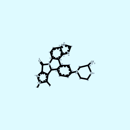 Cc1c2c(nn1C)C(=O)N1c3ccc4[nH]cnc4c3-c3cc(N4CCOC(C(F)(F)F)C4)ccc3C21